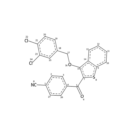 N#Cc1ccc(C(=O)c2sc3ccccc3c2OCc2ccc(Cl)c(Cl)c2)cc1